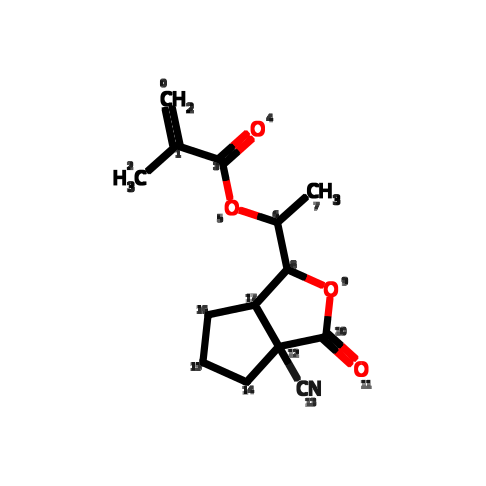 C=C(C)C(=O)OC(C)C1OC(=O)C2(C#N)CCCC12